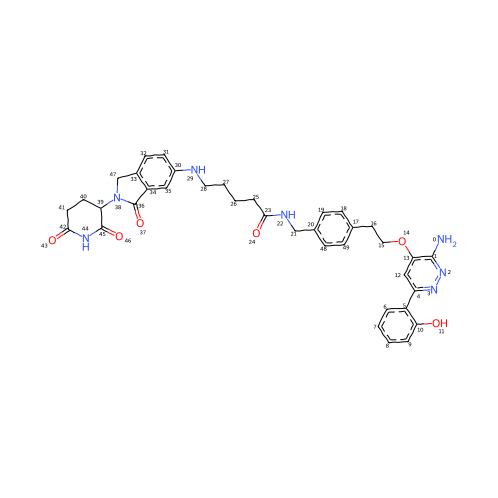 Nc1nnc(-c2ccccc2O)cc1OCCc1ccc(CNC(=O)CCCCNc2ccc3c(c2)C(=O)N(C2CCC(=O)NC2=O)C3)cc1